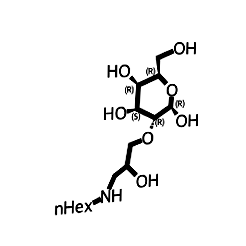 CCCCCCNCC(O)CO[C@@H]1[C@@H](O)[C@@H](O)[C@@H](CO)O[C@H]1O